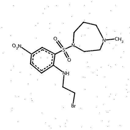 CN1CCCN(S(=O)(=O)c2cc([N+](=O)[O-])ccc2NCCBr)CC1